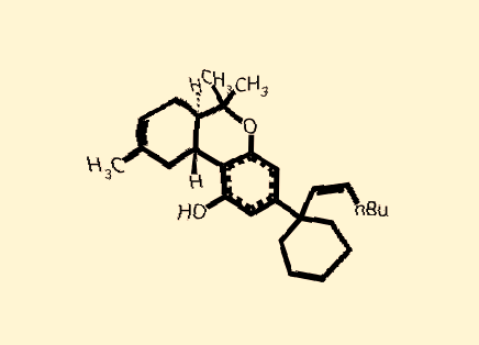 CCCC/C=C\C1(c2cc(O)c3c(c2)OC(C)(C)[C@@H]2CC=C(C)C[C@@H]32)CCCCC1